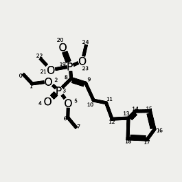 CCOP(=O)(OCC)/C(=C\CCCc1ccccc1)P(=O)(OC)OC